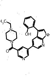 CCN1CCN(C(=O)c2cncc(-c3cnc4[nH]cc(-c5ccccc5O)c4c3)c2)CC1